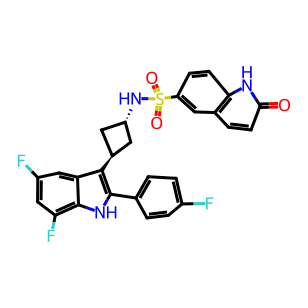 O=c1ccc2cc(S(=O)(=O)N[C@H]3C[C@H](c4c(-c5ccc(F)cc5)[nH]c5c(F)cc(F)cc54)C3)ccc2[nH]1